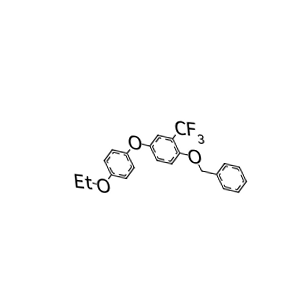 CCOc1ccc(Oc2ccc(OCc3ccccc3)c(C(F)(F)F)c2)cc1